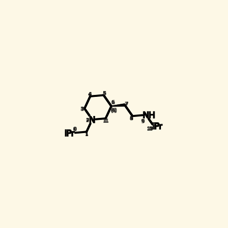 CC(C)CN1CCC[C@@H](CCNC(C)C)C1